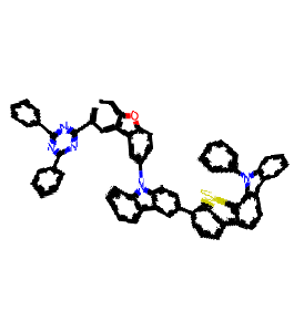 C=C(/C=c1\c(=C/C)oc2ccc(-n3c4ccccc4c4cc(-c5cccc6c5sc5c6ccc6c7ccccc7n(-c7ccccc7)c65)ccc43)cc12)c1nc(-c2ccccc2)nc(-c2ccccc2)n1